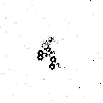 CCOc1ccc2ccccc2c1C(=O)N1CC(=NOC(C)(C)C)C[C@H]1C(=O)Nc1ccc2c(c1)c1ccccc1n2CC